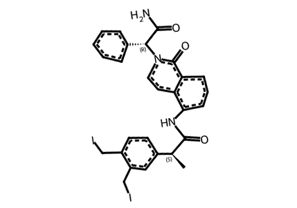 C[C@H](C(=O)Nc1cccc2c(=O)n([C@@H](C(N)=O)c3ccccc3)ccc12)c1ccc(CI)c(CI)c1